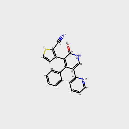 N#Cc1sccc1-c1c(-c2ccccc2)c(-c2ccccn2)c[nH]c1=O